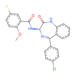 COc1ccc(F)cc1C(=O)N[C@@H]1N=C(c2ccc(Cl)cc2)c2ccccc2NC1=O